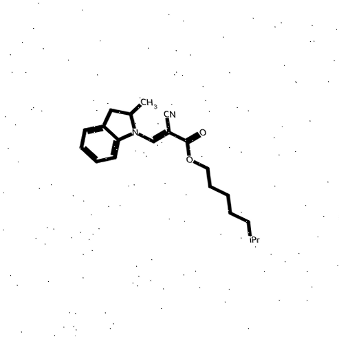 CC(C)CCCCCOC(=O)C(C#N)=CN1c2ccccc2CC1C